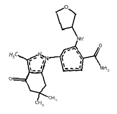 Cc1nn(-c2ccc(C(N)=O)c(NC3CCOC3)c2)c2c1C(=O)CC(C)(C)C2